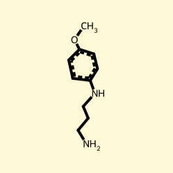 COc1ccc(NCCCN)cc1